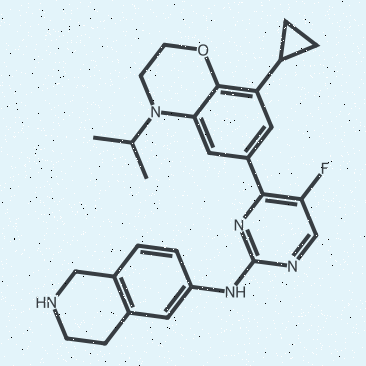 CC(C)N1CCOc2c(C3CC3)cc(-c3nc(Nc4ccc5c(c4)CCNC5)ncc3F)cc21